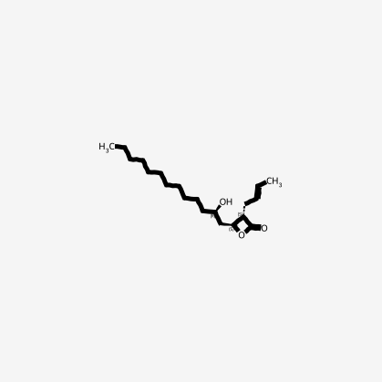 CC=CC[C@@H]1C(=O)O[C@H]1C[C@H](O)CCCCCCCCCCC